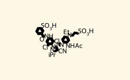 CCN(CCCS(=O)(=O)O)c1ccc(/N=N/c2c(C#N)c(C(C)C)nn2-c2c(Cl)cc(NC(=O)c3cccc(S(=O)(=O)O)c3)cc2Cl)c(NC(C)=O)c1